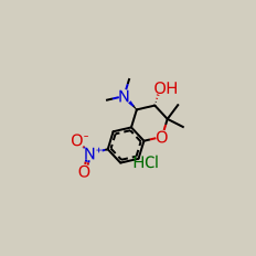 CN(C)[C@@H]1c2cc([N+](=O)[O-])ccc2OC(C)(C)[C@H]1O.Cl